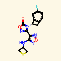 O=c1onc(-c2nonc2NC2CSC2)n1[C@H]1Cc2ccc(F)cc21